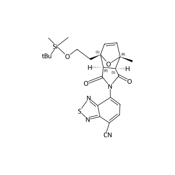 CC(C)(C)[Si](C)(C)OCC[C@@]12C=C[C@@](C)(O1)[C@H]1C(=O)N(c3ccc(C#N)c4nsnc34)C(=O)[C@H]12